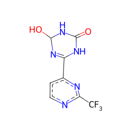 O=C1NC(c2ccnc(C(F)(F)F)n2)=NC(O)N1